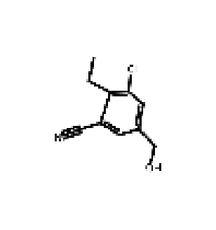 CCc1c(Cl)cc(CO)cc1C#N